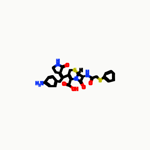 Nc1ccc(CC(=C2CCNC2=O)C2=C(C(=O)O)N3C(=O)[C@@H](NC(=O)CSc4ccccc4)[C@H]3SC2)cc1